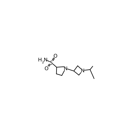 CC(C)N1CC(N2CCC(S(N)(=O)=O)C2)C1